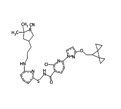 CC1(C)CC(CCCNc2cccc(SNC(=O)c3ccc(-n4ccc(OCC5C6(CC6)C56CC6)n4)nc3Cl)n2)CB1C#N